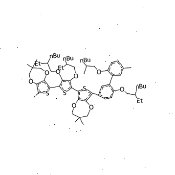 CCCCC(C)COc1ccc(C)cc1-c1cc(-c2sc(-c3sc(-c4sc(C)c5c4OCC(C)(C)CO5)c(OCC(CC)CCCC)c3OCC(CC)CCCC)c3c2OCC(C)(C)CO3)ccc1OCC(CC)CCCC